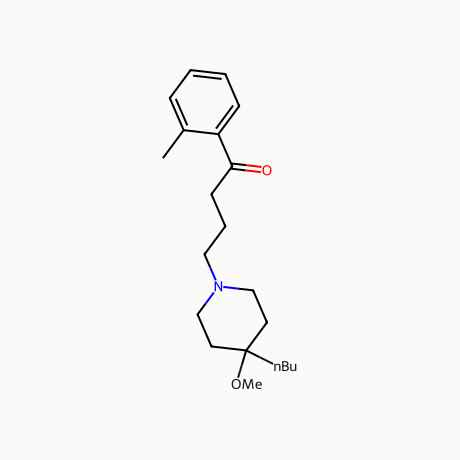 CCCCC1(OC)CCN(CCCC(=O)c2ccccc2C)CC1